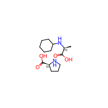 C[C@H](NC1CCCCC1)C(=O)O.O=C(O)[C@@H]1CCCN1